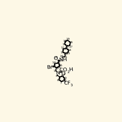 O=C(O)C(=O)N(Cc1ccc(C(F)(F)F)cc1)Cc1ccc(C(=O)NCCc2ccc(-c3ccccc3)cc2)cc1Br